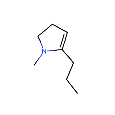 CCCC1=CCCN1C